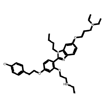 CCCCn1c(-c2ccc(OCCc3ccc(Cl)cc3)cc2OCCNCC)nc2ccc(OCCCN(CC)CC)cc21